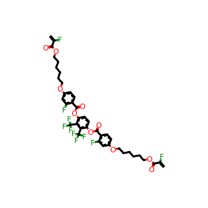 C=C(F)C(=O)OCCCCCCOc1ccc(C(=O)Oc2ccc(OC(=O)c3ccc(OCCCCCCOC(=O)C(=C)F)cc3F)c(C(F)(F)F)c2C(F)(F)F)c(F)c1